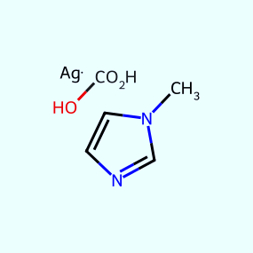 Cn1ccnc1.O=C(O)O.[Ag]